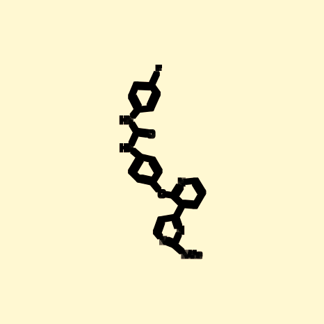 CNc1nccc(-c2cccnc2Oc2ccc(NC(=O)Nc3ccc(F)cc3)cc2)n1